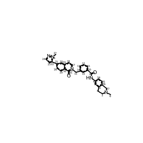 CN1CCc2cc(NC(=O)c3cccc(Cn4ccc5cc(-c6ccnn6C)ccc5c4=O)c3)ccc2C1